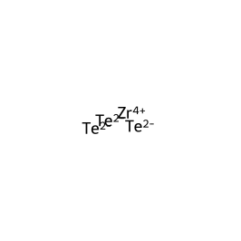 [Te-2].[Te-2].[Te-2].[Zr+4]